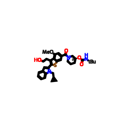 COc1cc(C(=O)N2CCC[C@@H](OC(=O)NC(C)(C)C)C2)cc2sc(-c3cc4ccccc4n3CC3CC3)c(CCO)c12